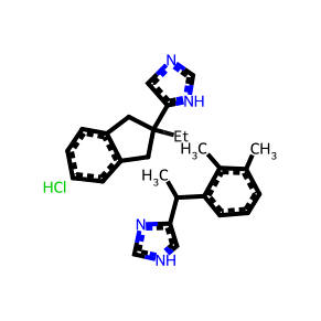 CCC1(c2cnc[nH]2)Cc2ccccc2C1.Cc1cccc(C(C)c2c[nH]cn2)c1C.Cl